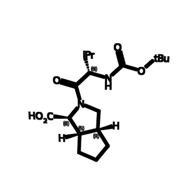 CC(C)[C@H](NC(=O)OC(C)(C)C)C(=O)N1C[C@@H]2CCC[C@@H]2[C@H]1C(=O)O